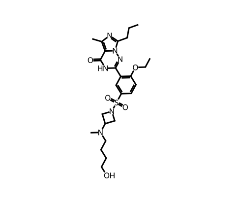 CCCc1nc(C)c2c(=O)[nH]c(-c3cc(S(=O)(=O)N4CC(N(C)CCCCO)C4)ccc3OCC)nn12